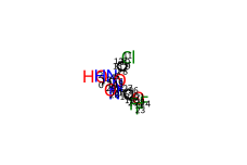 CC(O)C(NC(=O)c1ccc(Cl)cc1)c1nc(-c2ccc(OC(F)(F)F)cc2)no1